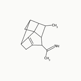 CC(=N)C1C2=C3C(C2)C2CC34C1C(C)C24